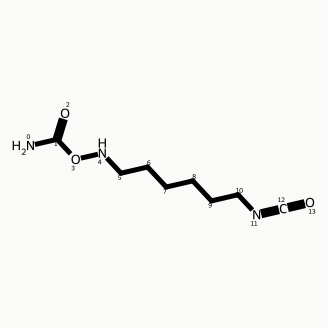 NC(=O)ONCCCCCCN=C=O